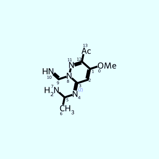 COc1c/c(=N/C(C)N)n(C=N)nc1C(C)=O